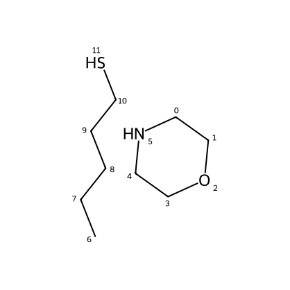 C1COCCN1.CCCCCS